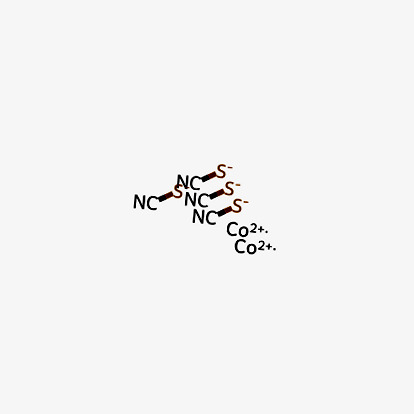 N#C[S-].N#C[S-].N#C[S-].N#C[S-].[Co+2].[Co+2]